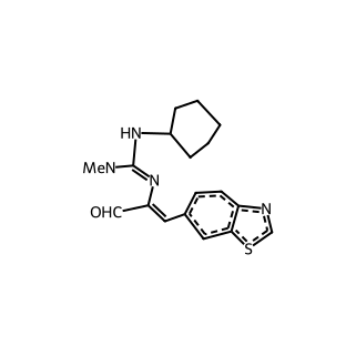 CN/C(=N\C(C=O)=C/c1ccc2ncsc2c1)NC1CCCCC1